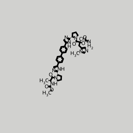 COC(=O)N[C@@H](C)C(=O)N1CCC[C@H]1c1ncc(-c2ccc(-c3ccc(-c4cnc([C@@H]5CCCN5C(=O)[C@](C)(Cc5cncn5C)OC(N)=O)[nH]4)cc3)cc2)[nH]1